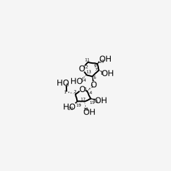 OC[C@@H]1O[C@H](O[C@@H]2[C@@H](O)[C@H](O)CO[C@H]2O)[C@@H](O)[C@H](O)[C@H]1O